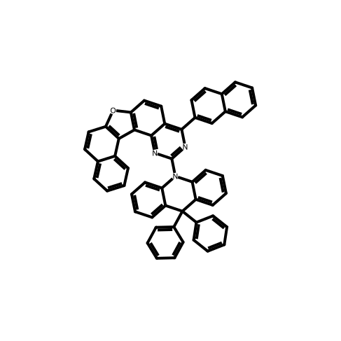 c1ccc(C2(c3ccccc3)c3ccccc3N(c3nc(-c4ccc5ccccc5c4)c4ccc5oc6ccc7ccccc7c6c5c4n3)c3ccccc32)cc1